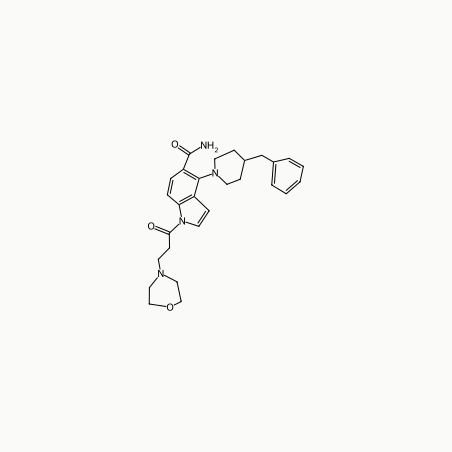 NC(=O)c1ccc2c(ccn2C(=O)CCN2CCOCC2)c1N1CCC(Cc2ccccc2)CC1